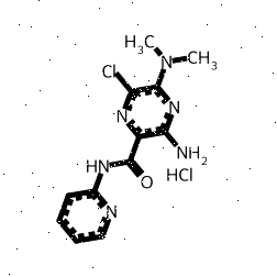 CN(C)c1nc(N)c(C(=O)Nc2ccccn2)nc1Cl.Cl